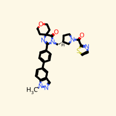 Cn1ncc2cc(-c3ccc(C4=NC5(CCOCC5)C(=O)N4C[C@@H]4CCN(C(=O)c5nccs5)C4)cc3)ccc21